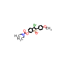 CCN(CC)C(=O)Oc1ccc2c(Br)c(-c3ccc(OC)cc3)[s+]([O-])c2c1